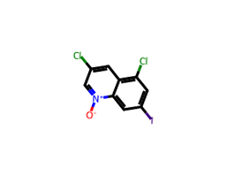 [O-][n+]1cc(Cl)cc2c(Cl)cc(I)cc21